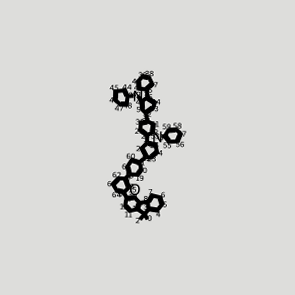 CC1(C)c2ccccc2-c2c1ccc1c2oc2c(-c3ccc(-c4ccc5c(c4)c4ccc(-c6ccc7c8ccccc8n(-c8ccccc8)c7c6)cc4n5-c4ccccc4)cc3)cccc21